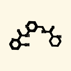 O=C(Nc1cc(CNC(=O)C2CCCCN2)ccn1)c1ncccc1O